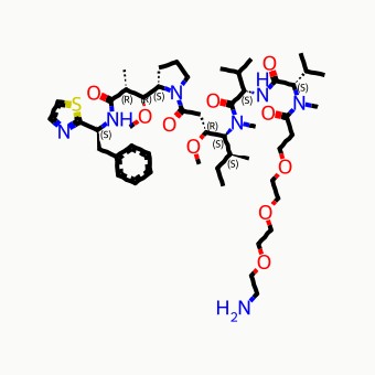 CC[C@H](C)[C@@H]([C@@H](CC(=O)N1CCC[C@H]1[C@H](OC)[C@@H](C)C(=O)N[C@@H](Cc1ccccc1)c1nccs1)OC)N(C)C(=O)[C@@H](NC(=O)[C@H](C(C)C)N(C)C(=O)CCOCCOCCOCCN)C(C)C